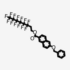 O=C(OCCC(F)(F)C(F)(F)C(F)(F)C(F)(F)C(F)(F)C(F)(F)F)c1ccc2cc(OCc3ccccc3)ccc2c1